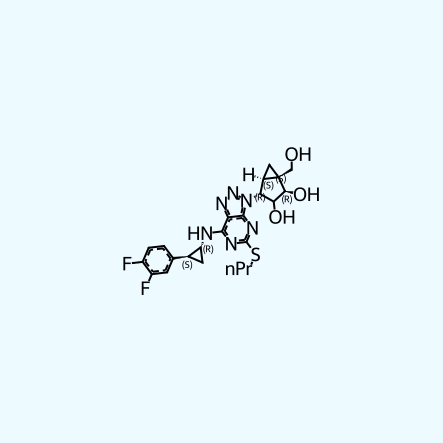 CCCSc1nc(N[C@@H]2C[C@H]2c2ccc(F)c(F)c2)c2nnn([C@H]3C(O)[C@H](O)[C@@]4(CO)C[C@H]34)c2n1